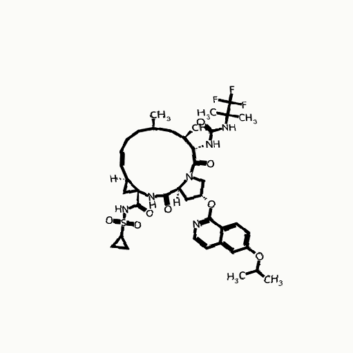 CC(C)Oc1ccc2c(O[C@@H]3C[C@H]4C(=O)N[C@]5(C(=O)NS(=O)(=O)C6CC6)C[C@H]5/C=C\CC[C@@H](C)C[C@@H](C)[C@H](NC(=O)NC(C)(C)C(F)(F)F)C(=O)N4C3)nccc2c1